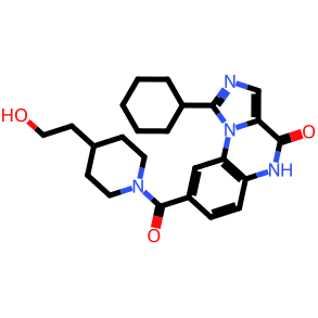 O=C(c1ccc2[nH]c(=O)c3cnc(C4CCCCC4)n3c2c1)N1CCC(CCO)CC1